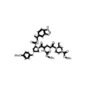 COc1ccc(C[C@@H]2C[C@@H](C(=O)NC(C)c3ccc4[nH]nnc4c3)N(C(=O)C(CCC(=O)N3CCN(C(=O)OC(C)(C)C)CC3C)NC(=O)OC(C)(C)C)C2)cc1